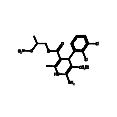 CCOC(=O)C1=C(N)NC(C)=C(C(=O)OCC(C)O[N+](=O)[O-])C1c1cccc(Cl)c1Cl